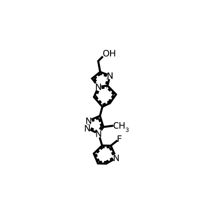 Cc1c(-c2ccc3nc(CO)cn3c2)nnn1-c1cccnc1F